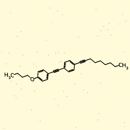 CCCCCCCC#Cc1ccc(C#Cc2ccc(OCCCC)cc2)cc1